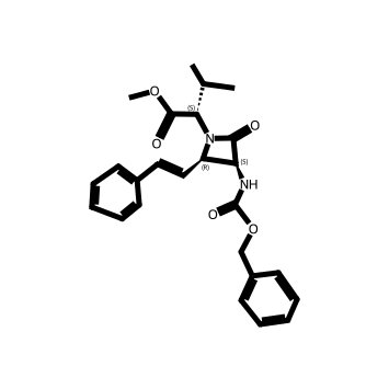 COC(=O)[C@H](C(C)C)N1C(=O)[C@@H](NC(=O)OCc2ccccc2)[C@H]1C=Cc1ccccc1